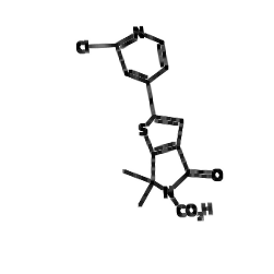 CC1(C)c2sc(-c3ccnc(Cl)c3)cc2C(=O)N1C(=O)O